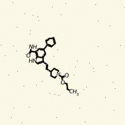 CCCOC(=O)N1CCC(C=Cc2c[nH]c3c(C(N)=O)cc(-c4ccccc4)cc23)CC1